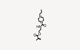 C=C(C)C(=O)OCCNC(=O)N1CCN(CCC)CC1